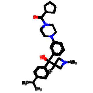 CC(C)c1ccc([C@](O)(c2cccc(N3CCN(C(=O)C4CCCC4)CC3)c2)C2(C)CN(C)C2)cc1